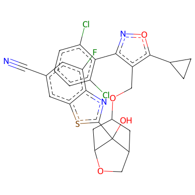 N#Cc1cc(F)c2nc(C3(O)C4COC3CC(OCc3c(-c5c(Cl)cccc5Cl)noc3C3CC3)C4)sc2c1